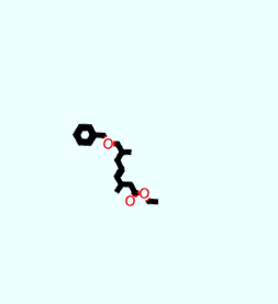 CCOC(=O)CC(C)/C=C/CC(C)COCc1ccccc1